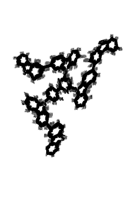 c1ccc2c(c1)sc1ccc(-c3ccc4c5ccccc5n(-c5ccc(-c6nc(-n7c8ccccc8c8ccc(-c9ccc%10sc%11ccccc%11c%10c9)cc87)nc(-n7c8ccccc8c8ccc(-c9ccc%10sc%11ccccc%11c%10c9)cc87)n6)cc5)c4c3)cc12